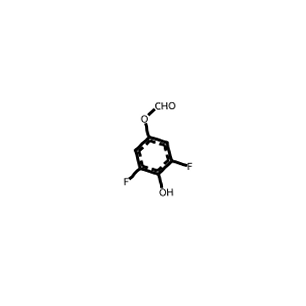 O=COc1cc(F)c(O)c(F)c1